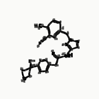 Cc1ccc(Cn2ncc(NC(=O)Cc3ccc(C4(F)COC4)cc3)n2)cc1C#N